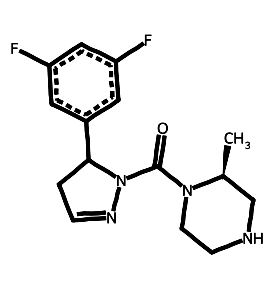 C[C@H]1CNCCN1C(=O)N1N=CCC1c1cc(F)cc(F)c1